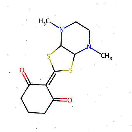 CN1CCN(C)C2SC(=C3C(=O)CCCC3=O)SC21